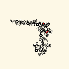 CCN(c1nncs1)P(=O)(N1CC1)N1CC1.CNC(=O)[C@H](Cc1ccccc1)NC(=O)[C@H](CC(C)C)[C@H](CSc1cccs1)C(=O)NO.C[C@](O)(CS(=O)(=O)c1ccc(F)cc1)C(=O)Nc1ccc(C#N)c(C(F)(F)F)c1.N[C@@H](CCC(=O)N[C@@H](CCC(=O)C1N=N1)C(=O)N[C@@H](CCC(=O)C1N=N1)C(=O)O)C(=O)O.Nc1ccn([C@@H]2O[C@H](CO)[C@@H](O)[C@H]2O)c(=O)n1.O=C(NP(=O)(N1CC1)N1CC1)OCc1ccccc1.[Cl-].[H+]